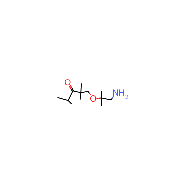 CC(C)C(=O)C(C)(C)COC(C)(C)CN